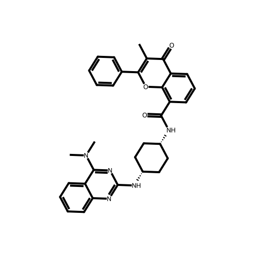 Cc1c(-c2ccccc2)oc2c(C(=O)N[C@H]3CC[C@@H](Nc4nc(N(C)C)c5ccccc5n4)CC3)cccc2c1=O